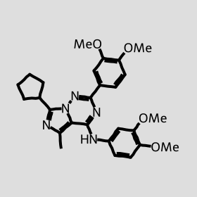 COc1ccc(Nc2nc(-c3ccc(OC)c(OC)c3)nn3c(C4CCCC4)nc(C)c23)cc1OC